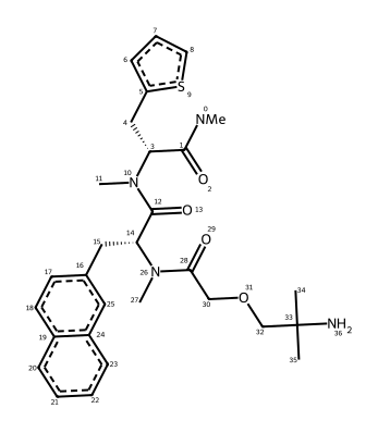 CNC(=O)[C@@H](Cc1cccs1)N(C)C(=O)[C@@H](Cc1ccc2ccccc2c1)N(C)C(=O)COCC(C)(C)N